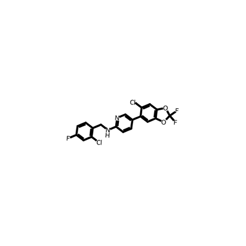 Fc1ccc(CNc2ccc(-c3cc4c(cc3Cl)OC(F)(F)O4)cn2)c(Cl)c1